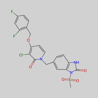 CS(=O)(=O)n1c(=O)[nH]c2ccc(Cn3ccc(OCc4ccc(F)cc4F)c(Cl)c3=O)cc21